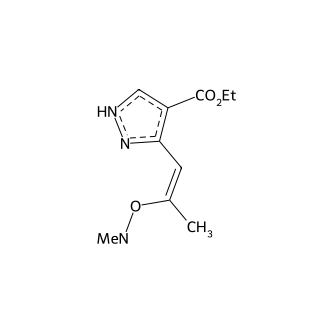 CCOC(=O)c1c[nH]nc1C=C(C)ONC